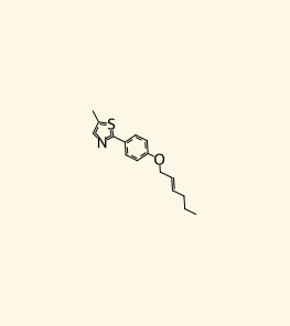 CCCC=CCOc1ccc(-c2ncc(C)s2)cc1